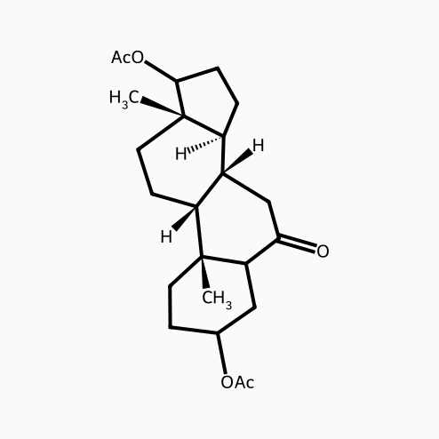 CC(=O)OC1CC[C@@]2(C)C(C1)C(=O)C[C@@H]1[C@H]2CC[C@]2(C)C(OC(C)=O)CC[C@@H]12